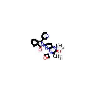 CC1C(=O)N(C)c2ccc(N3C(=O)c4ccccc4C3c3cccnc3)nc2N1C1COC1